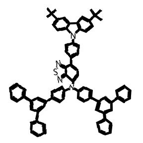 CC(C)(C)c1ccc2c(c1)c1cc(C(C)(C)C)ccc1n2-c1ccc(-c2ccc(N(c3ccc(-c4cc(-c5ccccc5)cc(-c5ccccc5)c4)cc3)c3ccc(-c4cc(-c5ccccc5)cc(-c5ccccc5)c4)cc3)c3nsnc23)cc1